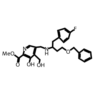 COC(=O)c1ncc(CNC(CCOCc2ccccc2)Cc2ccc(F)cc2)c(CO)c1O